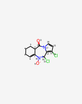 O=C1C2CCCC=C2[N+]([O-])=C(Cl)c2c(Cl)ccn21